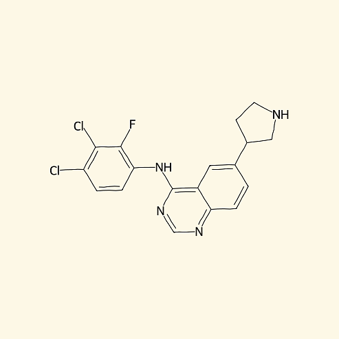 Fc1c(Nc2ncnc3ccc(C4CCNC4)cc23)ccc(Cl)c1Cl